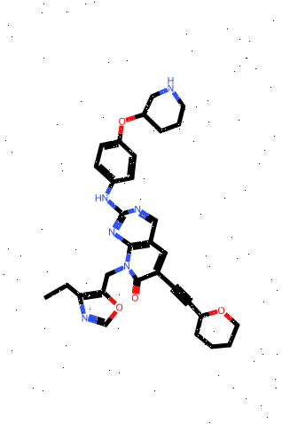 CCc1ncoc1Cn1c(=O)c(C#CC2CCCCO2)cc2cnc(Nc3ccc(OC4CCCNC4)cc3)nc21